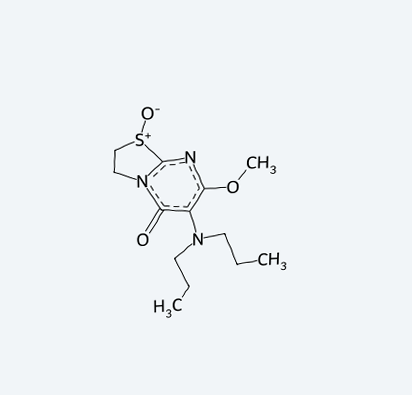 CCCN(CCC)c1c(OC)nc2n(c1=O)CC[S+]2[O-]